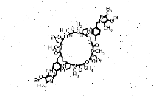 CCOc1c(C)nn(Cc2ccc(C[C@H]3OC(=O)[C@H](CC(C)C)N(C)C(=O)[C@@H](C)OC(=O)[C@H](CC(C)C)N(C)C(=O)[C@@H](Cc4ccc(Cn5nc(C)c(OCC)c5C)cc4)OC(=O)[C@H](CC(C)C)N(C)C(=O)[C@@H](C)OC(=O)[C@H](CC(C)C)N(C)C3=O)cc2)c1C